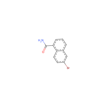 NC(=O)c1cccc2cc(Br)ccc12